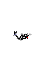 C/C(C=O)=C\CC[C@@H](C)[C@H]1CC[C@@]2(C)C3=C(C(=O)C[C@]12C)[C@@]1(C)CC[C@H](O)C(C)(C)[C@@H]1CC3